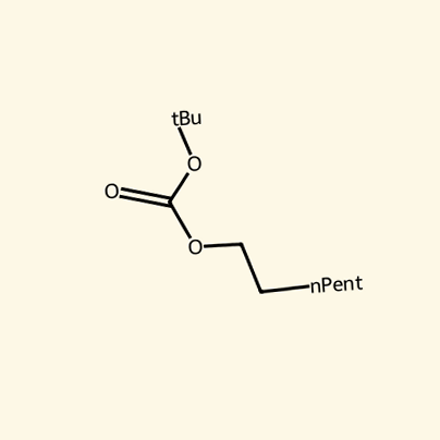 CCCCCCCOC(=O)OC(C)(C)C